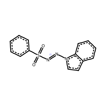 O=S(=O)(/N=N/n1ccc2ccccc21)c1ccccc1